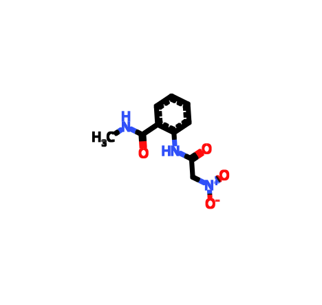 CNC(=O)c1ccccc1NC(=O)C[N+](=O)[O-]